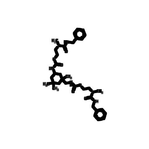 CN(CCOC(=O)NCC1(C)CC(NC(=O)OCCN(C)C(=O)NCc2ccccc2)CC(C)(C)C1)C(=O)NCc1ccccc1